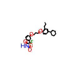 CCCc1cc(C2CCCCC2)ccc1OCCCOc1cccc(C2(F)OC(=O)NC2=O)c1